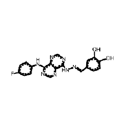 Oc1ccc(/C=N/Nc2ncnc3c(Nc4ccc(F)cc4)ncnc23)cc1O